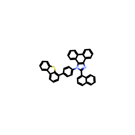 c1ccc2c(-c3nc4c5ccccc5c5ccccc5c4n3-c3ccc(-c4cccc5c4sc4ccccc45)cc3)cccc2c1